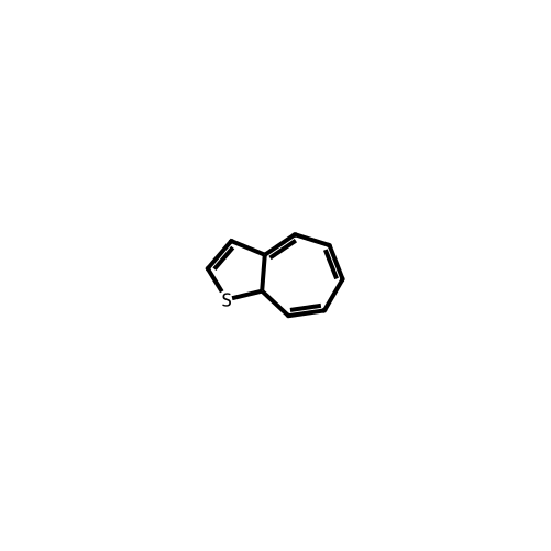 C1=CC=C2C=CSC2C=C1